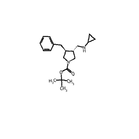 CC(C)(C)OC(=O)N1C[C@@H](CNC2CC2)[C@H](Cc2ccccc2)C1